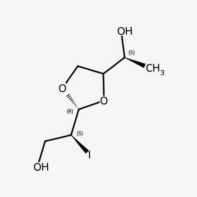 C[C@H](O)C1CO[C@@H]([C@@H](I)CO)O1